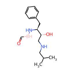 CC(C)CNC[C@@H](O)[C@H](Cc1ccccc1)NBC=O